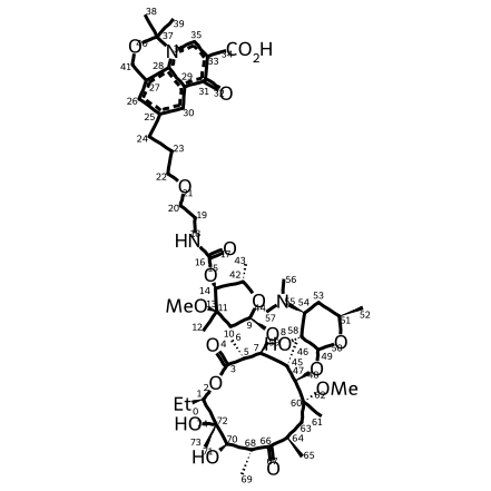 CC[C@H]1OC(=O)[C@H](C)[C@@H](O[C@H]2C[C@@](C)(OC)[C@@H](OC(=O)NCCOCCCc3cc4c5c(c3)c(=O)c(C(=O)O)cn5C(C)(C)OC4)[C@H](C)O2)[C@H](C)[C@@H](OC2O[C@H](C)C[C@H](N(C)C)[C@H]2O)[C@](C)(OC)C[C@@H](C)C(=O)[C@H](C)[C@@H](O)[C@]1(C)O